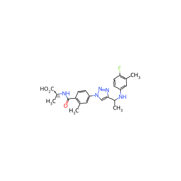 Cc1cc(NC(C)c2cn(-c3ccc(C(=O)N[C@@H](C)C(=O)O)c(C)c3)nn2)ccc1F